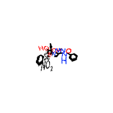 CC#C[C@@]1(O)[C@H](O)[C@@H](C[Se]c2ccccc2[N+](=O)[O-])O[C@H]1n1ccc2c(NC(=O)c3ccccc3)ncnc21